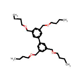 CCCCOCc1cc(COCCCC)cc(-c2cc(COCCCC)cc(COCCCC)c2)c1